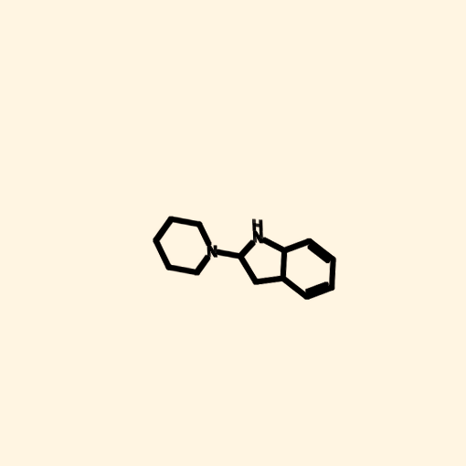 C1=CC2CC(N3CCCCC3)NC2C=C1